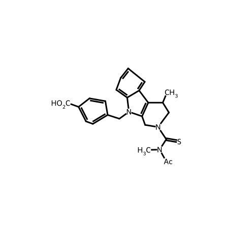 CC(=O)N(C)C(=S)N1Cc2c(c3ccccc3n2Cc2ccc(C(=O)O)cc2)C(C)C1